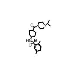 Cc1ccc(F)cc1S(=O)(=O)NC1CCC(C(=O)N2CCN(C(C)C)CC2)CC1